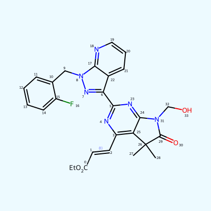 CCOC(=O)/C=C/c1nc(-c2nn(Cc3ccccc3F)c3ncccc23)nc2c1C(C)(C)C(=O)N2CO